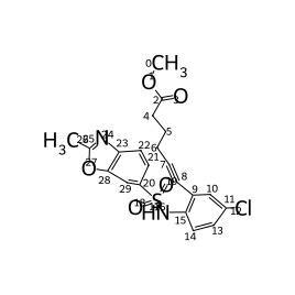 COC(=O)CCCC#Cc1cc(Cl)ccc1NS(=O)(=O)c1ccc2nc(C)oc2c1